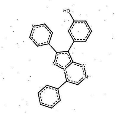 Oc1cccc(-c2c(-c3ccncc3)nn3c(-c4ccccc4)cnnc23)c1